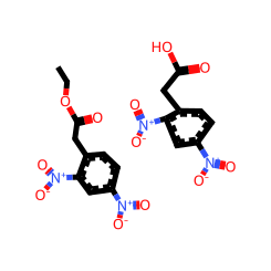 CCOC(=O)Cc1ccc([N+](=O)[O-])cc1[N+](=O)[O-].O=C(O)Cc1ccc([N+](=O)[O-])cc1[N+](=O)[O-]